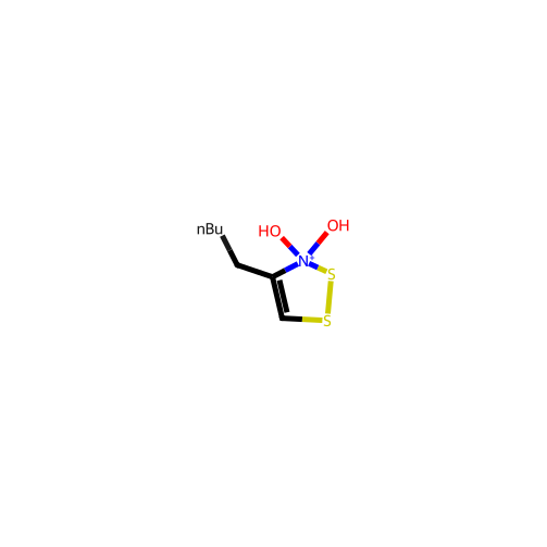 CCCCCC1=CSS[N+]1(O)O